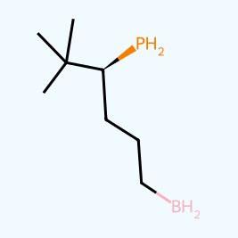 BCCC[C@H](P)C(C)(C)C